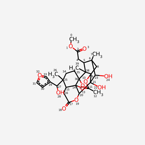 COC(=O)CC1C2(C)CC34OC5(C)OC67C(CC(=O)OC6C3(O)C2O)C(C)(C(O)c2ccoc2)CCC7(O5)C14C